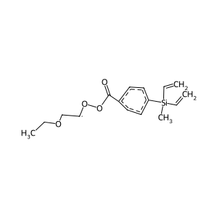 C=C[Si](C)(C=C)c1ccc(C(=O)OO[CH]COCC)cc1